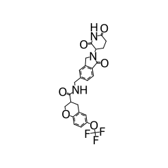 O=C1CCC(N2Cc3cc(CNC(=O)C4COc5ccc(OC(F)(F)F)cc5C4)ccc3C2=O)C(=O)N1